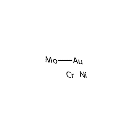 [Cr].[Mo][Au].[Ni]